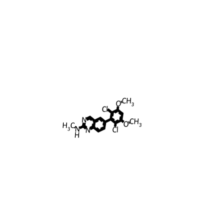 CNc1ncc2cc(-c3c(Cl)c(OC)cc(OC)c3Cl)ccc2n1